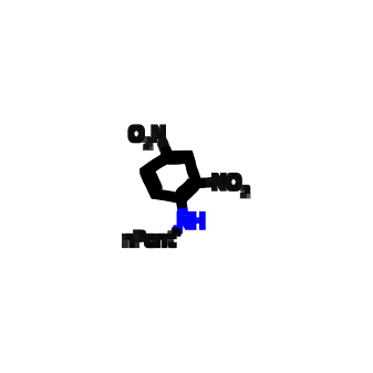 CCCCCNc1ccc([N+](=O)[O-])cc1[N+](=O)[O-]